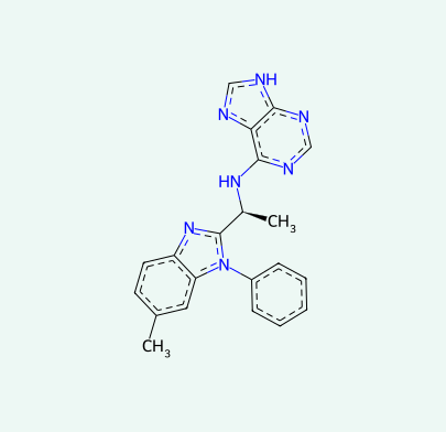 Cc1ccc2nc([C@H](C)Nc3ncnc4[nH]cnc34)n(-c3ccccc3)c2c1